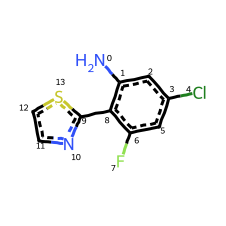 Nc1cc(Cl)cc(F)c1-c1nccs1